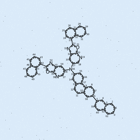 c1ccc2cc(-c3ccc4c(ccc5cc(N(c6cnc7oc(-c8cccc9ccccc89)nc7c6)c6cnc7oc(-c8cccc9ccccc89)nc7c6)ccc54)c3)ccc2c1